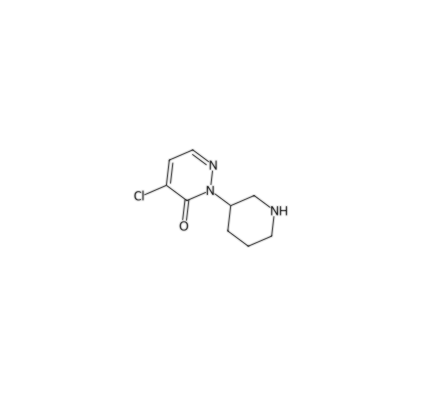 O=c1c(Cl)ccnn1C1CCCNC1